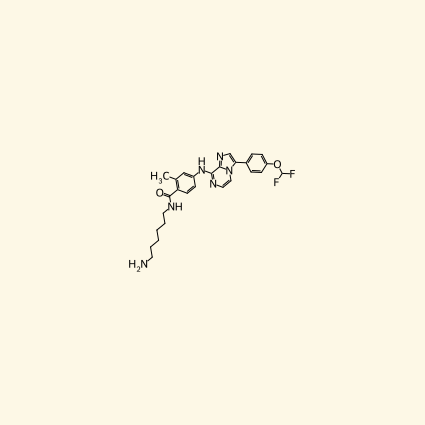 Cc1cc(Nc2nccn3c(-c4ccc(OC(F)F)cc4)cnc23)ccc1C(=O)NCCCCCCN